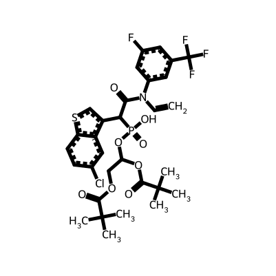 C=CN(C(=O)C(c1csc2ccc(Cl)cc12)P(=O)(O)OC(COC(=O)C(C)(C)C)OC(=O)C(C)(C)C)c1cc(F)cc(C(F)(F)F)c1